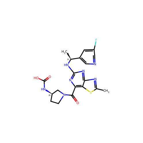 Cc1nc2nc(N[C@@H](C)c3cncc(F)c3)nc(C(=O)N3CC[C@@H](NC(=O)O)C3)c2s1